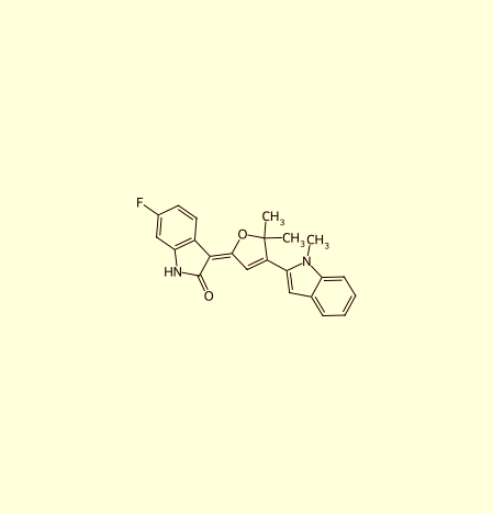 Cn1c(C2=C/C(=C3\C(=O)Nc4cc(F)ccc43)OC2(C)C)cc2ccccc21